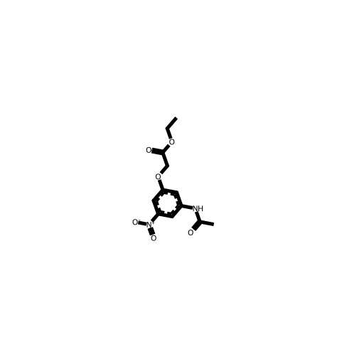 CCOC(=O)COc1cc(NC(C)=O)cc([N+](=O)[O-])c1